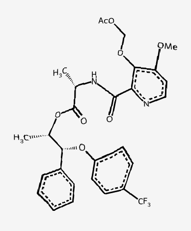 COc1ccnc(C(=O)N[C@@H](C)C(=O)O[C@@H](C)[C@H](Oc2ccc(C(F)(F)F)cc2)c2ccccc2)c1OCOC(C)=O